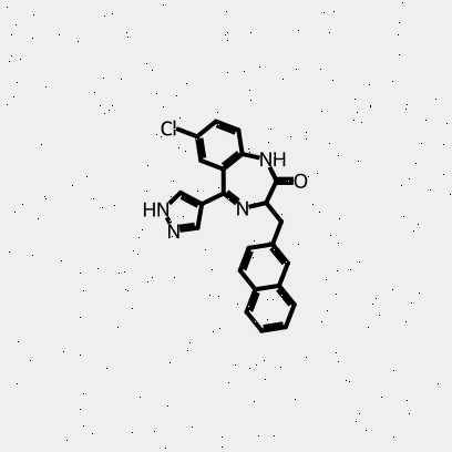 O=C1Nc2ccc(Cl)cc2C(c2cn[nH]c2)=NC1Cc1ccc2ccccc2c1